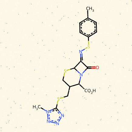 Cc1ccc(SN=C2C(=O)N3C2SCC(CSc2nnnn2C)C3C(=O)O)cc1